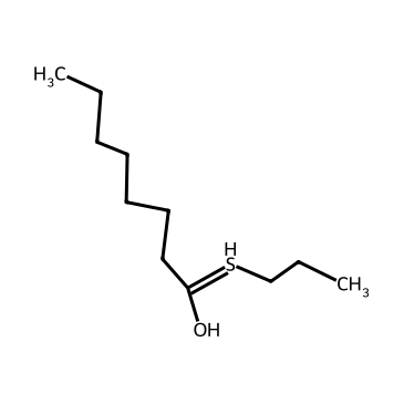 CCCCCCCC(O)=[SH]CCC